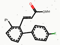 COC(=O)C=Cc1c(-c2ccc(F)cc2)cccc1C(C)C